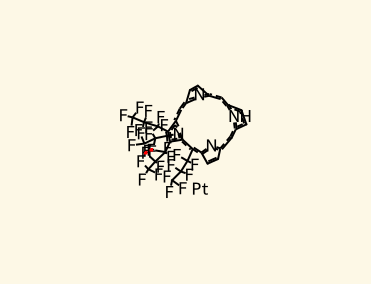 FC(F)(F)C(F)(F)C(F)(F)c1c(C(F)(F)C(F)(F)C(F)(F)F)c2c(C(F)(F)C(F)(F)C(F)(F)F)c3nc(cc4ccc(cc5nc(cc1n2C(F)(F)C(F)(F)C(F)(F)F)C=C5)[nH]4)C=C3.[Pt]